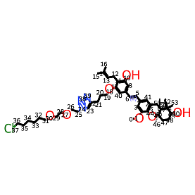 COc1cc(/C=C/c2cc(O)c(CC=C(C)C)c(OCCCc3cn(CCOCCOCCCCCCCl)nn3)c2)cc2c1O[C@]1(C)CC[C@@H](O)C(C)(C)[C@H]1C2